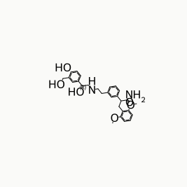 COc1cccc(OC)c1CC(C(N)=O)c1cccc(CCNC[C@H](O)c2ccc(O)c(CO)c2)c1